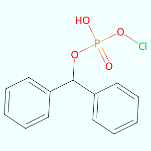 O=P(O)(OCl)OC(c1ccccc1)c1ccccc1